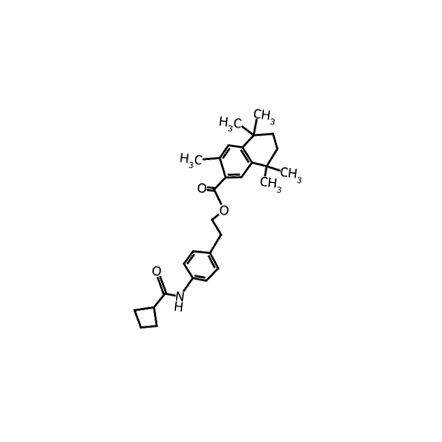 Cc1cc2c(cc1C(=O)OCCc1ccc(NC(=O)C3CCC3)cc1)C(C)(C)CCC2(C)C